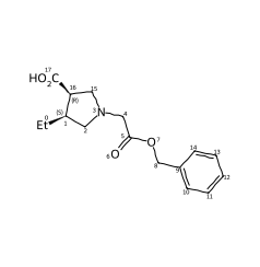 CC[C@@H]1CN(CC(=O)OCc2ccccc2)C[C@@H]1C(=O)O